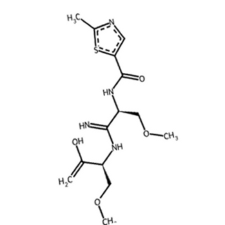 C=C(O)[C@H](COC)NC(=N)[C@H](COC)NC(=O)c1cnc(C)s1